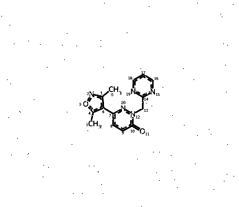 Cc1noc(C)c1-c1ccc(=O)n(Cc2ncccn2)n1